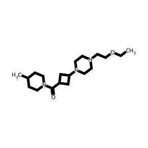 CCOCCN1CCN(C2CC(C(=O)N3CCC(C)CC3)C2)CC1